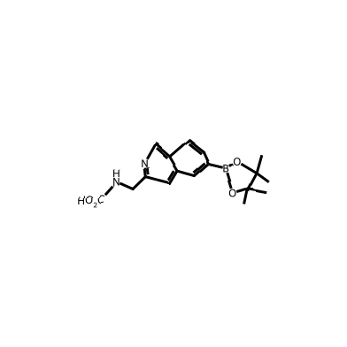 CC1(C)OB(c2ccc3cnc(CNC(=O)O)cc3c2)OC1(C)C